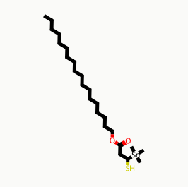 CCCCCCCCCCCCCCCCCCOC(=O)C[CH](S)[Sn]([CH3])([CH3])[CH3]